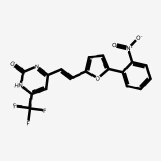 O=c1nc(C=Cc2ccc(-c3ccccc3[N+](=O)[O-])o2)cc(C(F)(F)F)[nH]1